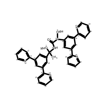 CON(C(=O)NC(C)(OC)c1cc(-c2ccccn2)cc(-c2ccccn2)c1)c1cc(-c2ccccn2)cc(-c2ccccn2)c1